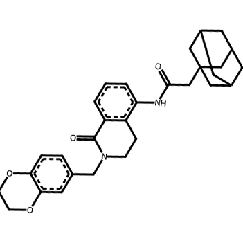 O=C(CC12CC3CC(CC(C3)C1)C2)Nc1cccc2c1CCN(Cc1ccc3c(c1)OCCO3)C2=O